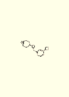 Clc1cccc(COC2CC[N]CC2)c1